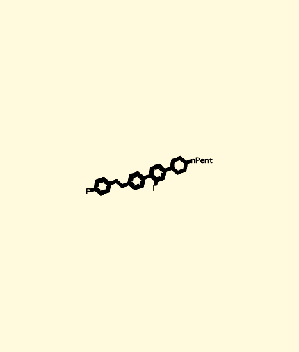 CCCCCC1CCC(c2ccc(-c3ccc(CCc4ccc(F)cc4)cc3)c(F)c2)CC1